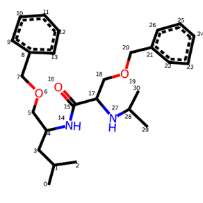 CC(C)CC(COCc1ccccc1)NC(=O)C(COCc1ccccc1)NC(C)C